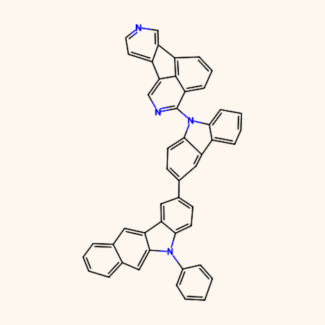 c1ccc(-n2c3ccc(-c4ccc5c(c4)c4ccccc4n5-c4ncc5c6c(cccc46)-c4cnccc4-5)cc3c3cc4ccccc4cc32)cc1